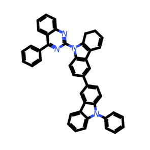 C1=Cc2c(n(-c3nc(-c4ccccc4)c4ccccc4n3)c3ccc(-c4ccc5c(c4)c4ccccc4n5-c4ccccc4)cc23)CC1